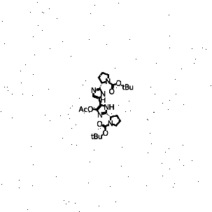 CC(=O)Oc1nc([C@@H]2CCCN2C(=O)OC(C)(C)C)[nH]c1-c1cnc([C@@H]2CCCN2C(=O)OC(C)(C)C)[nH]1